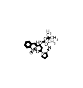 CC(C)(C)OC(=O)NC(C=Cc1ccccc1[N+](=O)[O-])CC(=O)N1CCC[C@H]1C#N